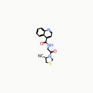 N#C[C@@H]1CSCN1C(=O)CNC(=O)c1ccnc2ccccc12